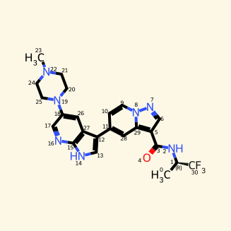 C[C@@H](NC(=O)c1cnn2ccc(-c3c[nH]c4ncc(N5CCN(C)CC5)cc34)cc12)C(F)(F)F